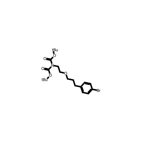 CC(C)(C)OC(=O)N(CCOCCCc1ccc(Br)cc1)C(=O)OC(C)(C)C